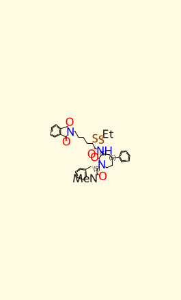 CCSSC(CCCCN1C(=O)c2ccccc2C1=O)C(=O)N[C@H]1C[C@@H](c2ccccc2)CCN([C@@H](Cc2ccccc2)C(=O)NC)C1=O